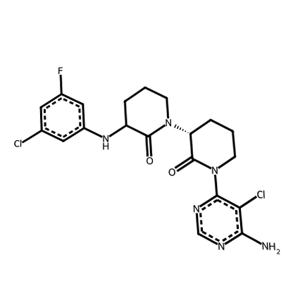 Nc1ncnc(N2CCC[C@@H](N3CCCC(Nc4cc(F)cc(Cl)c4)C3=O)C2=O)c1Cl